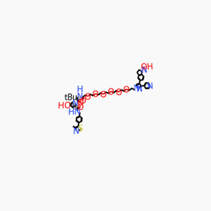 Cc1ncsc1-c1ccc(CNC(=O)[C@@H]2C[C@@H](O)CN2C(=O)[C@@H](NC(=O)COCCOCCOCCOCCOCCOCCCn2cc(-c3ccc4c(c3)CC/C4=N\O)c(-c3ccncc3)n2)C(C)(C)C)cc1